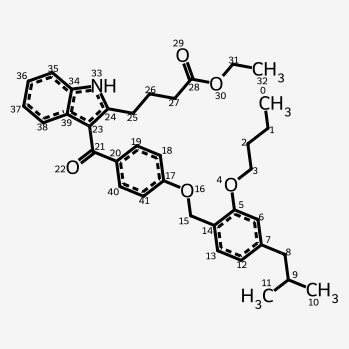 CCCCOc1cc(CC(C)C)ccc1COc1ccc(C(=O)c2c(CCCC(=O)OCC)[nH]c3ccccc23)cc1